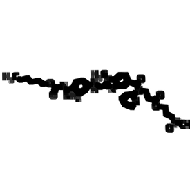 CCCCCCOC(=O)/N=C(\N)c1ccc(NCc2nc3cc(C(=O)N(CCC(=O)OCCC[S+](C)[O-])c4ccccn4)ccc3n2C)cc1